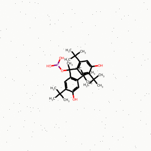 CC(C)(C)c1cc(C(C)(OP(O)O)c2cc(C(C)(C)C)c(O)cc2C(C)(C)C)c(C(C)(C)C)cc1O